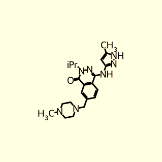 Cc1cc(Nc2nn(C(C)C)c(=O)c3cc(CN4CCN(C)CC4)ccc23)n[nH]1